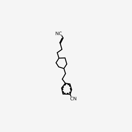 N#CC=CCCC1CCC(CCc2ccc(C#N)cc2)CC1